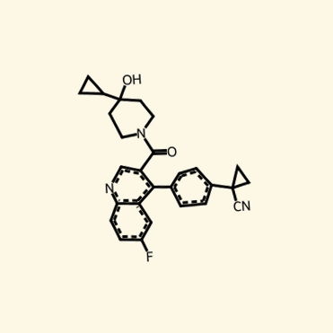 N#CC1(c2ccc(-c3c(C(=O)N4CCC(O)(C5CC5)CC4)cnc4ccc(F)cc34)cc2)CC1